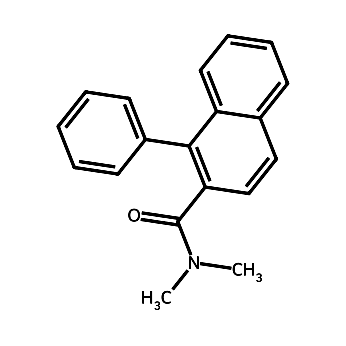 CN(C)C(=O)c1ccc2ccccc2c1-c1ccccc1